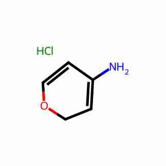 Cl.NC1=CCOC=C1